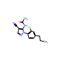 CCCc1ccc(-n2ncc(C#N)c2NC(C)=O)c(Cl)c1